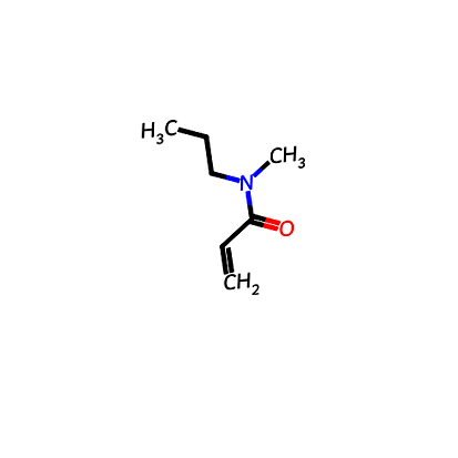 C=CC(=O)N(C)CCC